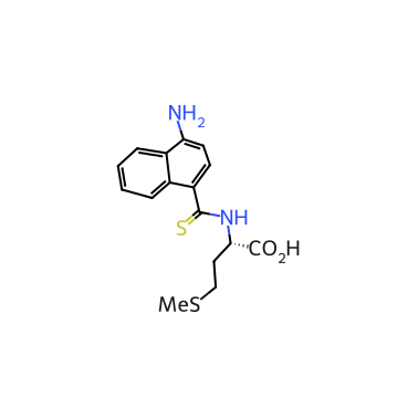 CSCC[C@H](NC(=S)c1ccc(N)c2ccccc12)C(=O)O